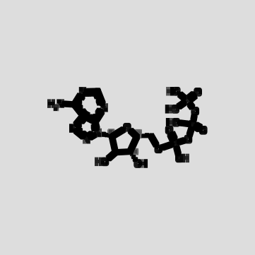 Nc1ncnc2c1nnn2[C@@H]1O[C@H](COP(=O)(O)OP(=O)(O)OP(=O)(O)O)[C@H](O)C1O